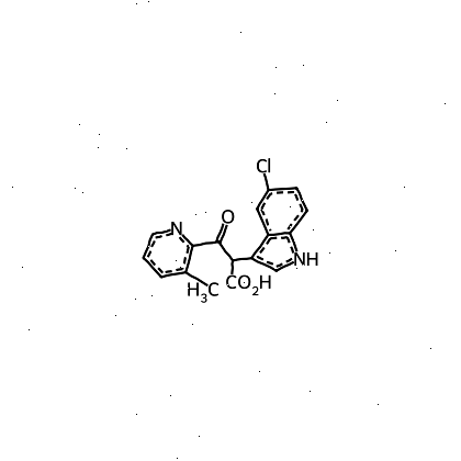 Cc1cccnc1C(=O)C(C(=O)O)c1c[nH]c2ccc(Cl)cc12